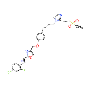 CS(=O)(=O)CCc1nccn1CCCCc1ccc(OCc2coc(/C=C/c3ccc(F)cc3F)n2)cc1